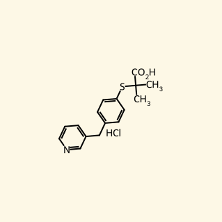 CC(C)(Sc1ccc(Cc2cccnc2)cc1)C(=O)O.Cl